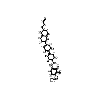 C=CCCC1CCC2CC(C3CCC(C4CCC(COc5ccc(OCC)c(F)c5F)CC4)CC3)CCC2C1